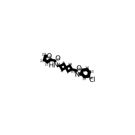 O=C(NC1CC2(C1)CC(c1nc3cc(Cl)ccc3o1)C2)c1ccco1